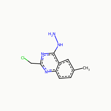 Cc1ccc2nc(CCl)nc(NN)c2c1